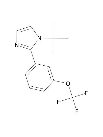 CC(C)(C)n1ccnc1-c1cccc(OC(F)(F)F)c1